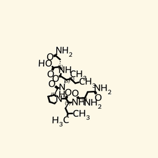 CC[C@H](C)[C@H](NC(=O)[C@@H]1CCCN1C(=O)[C@H](CC(C)C)NC(=O)[C@@H](N)CC(N)=O)C(=O)N[C@@H](CC(N)=O)C(=O)O